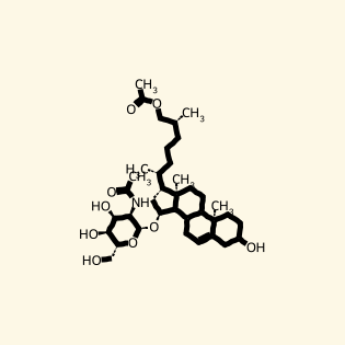 CC(=O)N[C@H]1[C@H](O[C@@H]2C[C@H]([C@H](C)CCC[C@@H](C)COC(C)=O)[C@@]3(C)CCC4C(CC=C5CC(O)CC[C@@]54C)C23)O[C@H](CO)[C@@H](O)[C@H]1O